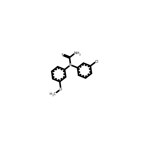 COc1cccc(N(C(N)=S)c2cccc(Cl)c2)c1